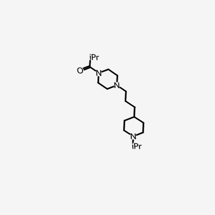 CC(C)C(=O)N1CCN(CCCC2CCN(C(C)C)CC2)CC1